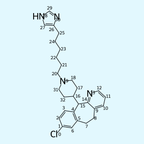 Clc1ccc2c(c1)CCc1cccnc1C2C1CCN(CCCCCCc2c[nH]cn2)CC1